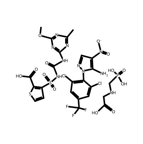 COc1nc(C)nc(NC(=O)NS(=O)(=O)c2ccsc2C(=O)O)n1.Nc1c([N+](=O)[O-])cnn1-c1c(Cl)cc(C(F)(F)F)cc1Cl.O=C(O)CNCP(=O)(O)O